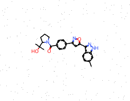 Cc1ccc2c(-c3cc(-c4ccc(C(=O)N5CCCC5C(C)(C)O)cc4)no3)n[nH]c2c1